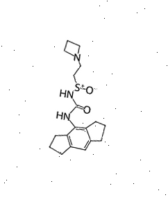 O=C(Nc1c2c(cc3c1CCC3)CCC2)N[S+]([O-])CCN1CCC1